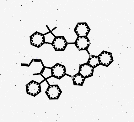 C=C/C=C\C1=C(C)C(c2ccccc2)(c2ccccc2)c2cc(-n3ccc4cc5c6ccccc6n(-c6nc(-c7ccc8c(c7)C(C)(C)c7ccccc7-8)c7ccccc7n6)c5cc43)ccc21